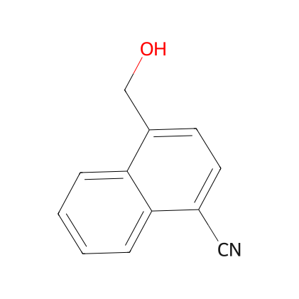 N#Cc1ccc(CO)c2ccccc12